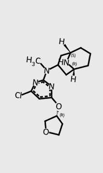 CN(c1nc(Cl)cc(O[C@@H]2CCOC2)n1)C1C[C@H]2CCC[C@@H](C1)N2